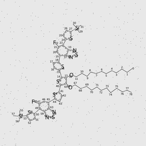 CCCCCCCCCCCCOc1c(-c2ccc(-c3cc(F)c(-c4ccc([Si](C)(C)C)s4)c4nsnc34)s2)sc(-c2ccc(-c3cc(F)c(-c4ccc([Si](C)(C)C)s4)c4nsnc34)s2)c1OCCCCCCCCCCCC